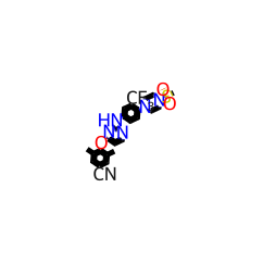 Cc1cc(C#N)cc(C)c1Oc1ccnc(Nc2ccc(N3CCN(S(C)(=O)=O)CC3)c(C(F)(F)F)c2)n1